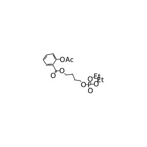 CCOP(=O)(OCC)OCCCCOC(=O)c1ccccc1OC(C)=O